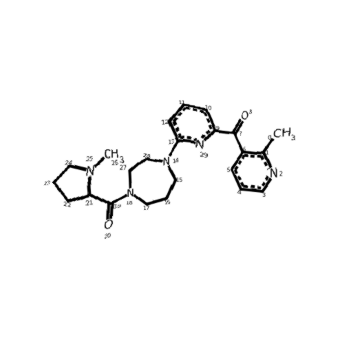 Cc1ncccc1C(=O)c1cccc(N2CCCN(C(=O)C3CCCN3C)CC2)n1